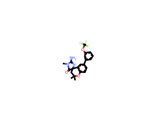 CN1C(=O)C2(CC(C)(C)Oc3ccc(-c4cccc(OC(F)(F)F)c4)cc32)N=C1N